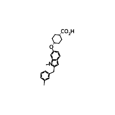 Cc1cccc(Cc2cc3ccc(O[C@H]4CC[C@@H](C(=O)O)CC4)cc3n2C)c1